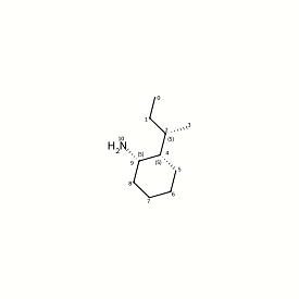 CC[C@H](C)[C@@H]1CCCC[C@@H]1N